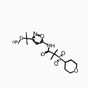 CCCOC(C)(C)c1cc(NC(=O)C(C)(C)S(=O)(=O)C2CCOCC2)on1